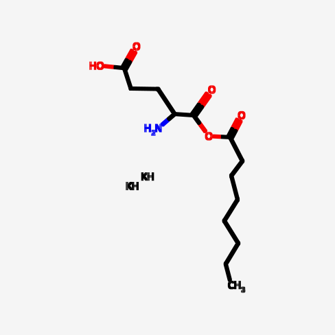 CCCCCCCC(=O)OC(=O)C(N)CCC(=O)O.[KH].[KH]